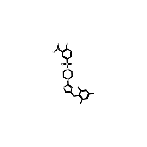 Cc1cc(C)c(Cc2csc(N3CCN(S(=O)(=O)c4ccc(Cl)c([N+](=O)[O-])c4)CC3)n2)c(C)c1